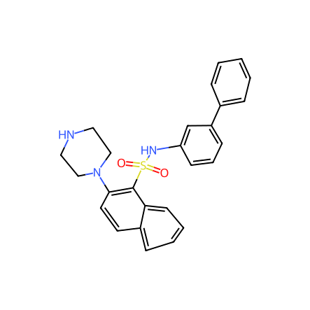 O=S(=O)(Nc1cccc(-c2ccccc2)c1)c1c(N2CCNCC2)ccc2ccccc12